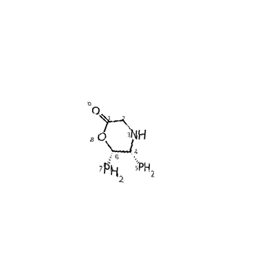 O=C1CN[C@H](P)[C@H](P)O1